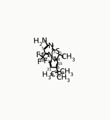 CC(Sc1nc(N)cc(C(F)(F)F)n1)c1cc(C(C)(C)C)ccn1